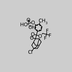 Cc1ccc(C2(OCC(F)(F)F)OOC23C2CC4CC3CC(Cl)(C4)C2)cc1OP(=O)(O)O